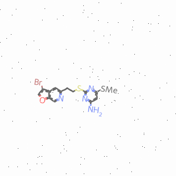 CSc1cc(N)nc(SCCc2cc3c(Br)coc3cn2)n1